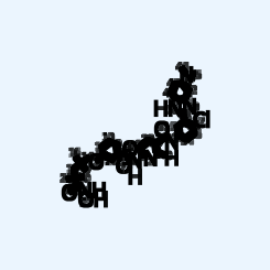 Cc1nc(NS(=O)(=O)c2cccc(OCC(C)(C)CC(C)(C)C(=O)NO)c2)ccc1C(=O)Nc1ccc(Cl)c(-c2nc3cc(N(C)C)ccc3[nH]2)c1